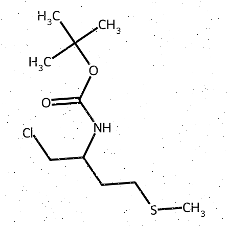 CSCCC(CCl)NC(=O)OC(C)(C)C